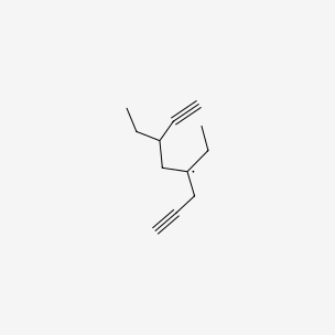 C#CC[C](CC)CC(C#C)CC